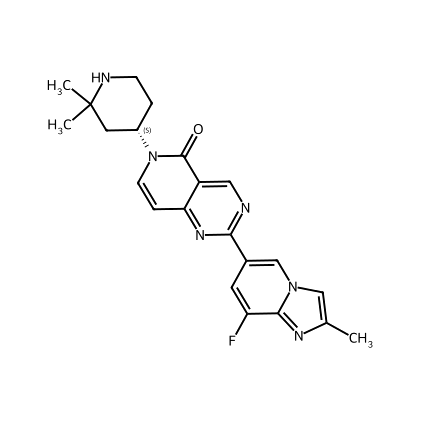 Cc1cn2cc(-c3ncc4c(=O)n([C@H]5CCNC(C)(C)C5)ccc4n3)cc(F)c2n1